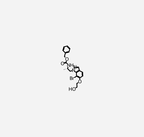 C[C@@H](Cn1ncc2ccc(OCCO)c(Br)c21)NC(=O)OCc1ccccc1